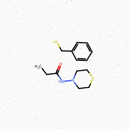 CCC(=O)NN1CCSCC1.SCc1ccccc1